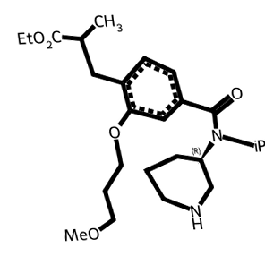 CCOC(=O)C(C)Cc1ccc(C(=O)N(C(C)C)[C@@H]2CCCNC2)cc1OCCCOC